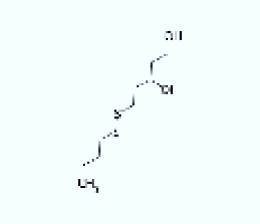 CCCCSSCCC(O)CCO